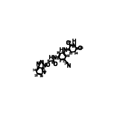 N#Cc1cc(NC(=O)COn2nnc3cccnc32)cc(NC2CCC(=O)NC2=O)c1